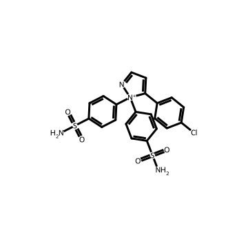 NS(=O)(=O)c1ccc([N+]2(c3ccc(S(N)(=O)=O)cc3)N=CC=C2c2ccc(Cl)cc2)cc1